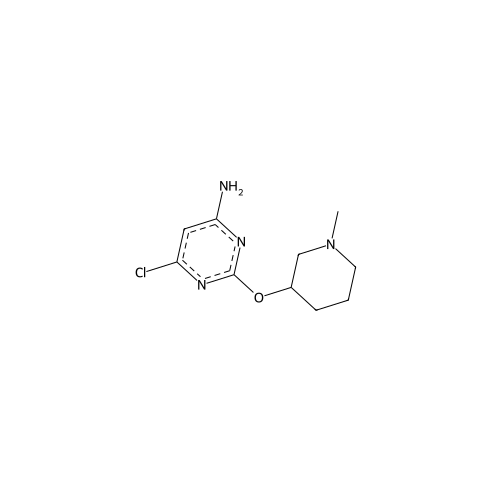 CN1CCCC(Oc2nc(N)cc(Cl)n2)C1